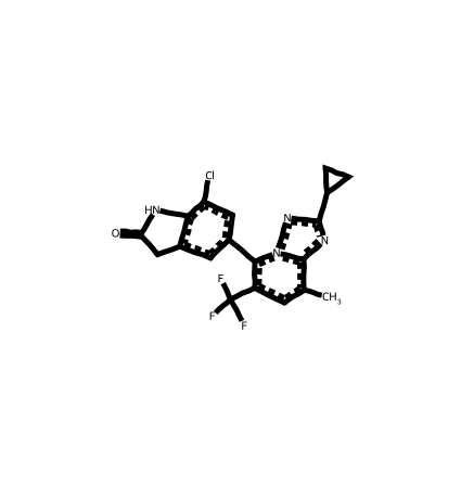 Cc1cc(C(F)(F)F)c(-c2cc(Cl)c3c(c2)CC(=O)N3)n2nc(C3CC3)nc12